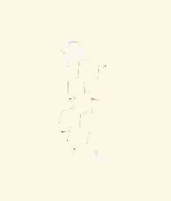 C[C@@H]1[C@H]2[C@H]3C(=O)C=C4[C@@]5(C)C=C(C#N)C(=O)C(C)(C)[C@@H]5CC[C@@]4(C)[C@]3(C)CC[C@@]2(Cn2cncn2)CC[C@H]1C